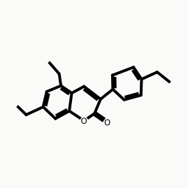 CCc1ccc(-c2cc3c(CC)cc(CC)cc3oc2=O)cc1